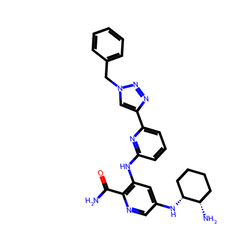 NC(=O)c1ncc(N[C@@H]2CCCC[C@@H]2N)cc1Nc1cccc(-c2cn(Cc3ccccc3)nn2)n1